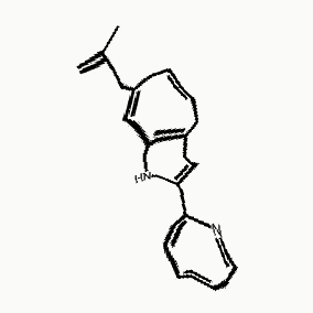 C=C(C)c1ccc2cc(-c3ccccn3)[nH]c2c1